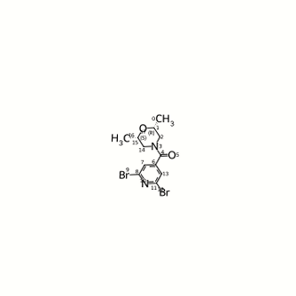 C[C@@H]1CN(C(=O)c2cc(Br)nc(Br)c2)C[C@H](C)O1